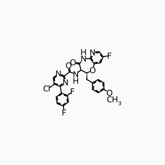 COc1ccc(C[C@@H]2Oc3cc(F)cnc3NC(=O)C2NC(=O)c2ncc(Cl)c(-c3ccc(F)cc3F)n2)cc1